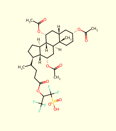 CC(=O)O[C@@H]1CC[C@@]2(C)[C@@H](C1)C[C@@H](OC(C)=O)[C@H]1[C@@H]3CC[C@H](C(C)CCC(=O)OC(C(F)(F)F)C(F)(F)S(=O)(=O)O)[C@H]3[C@@H](OC(C)=O)C[C@@H]12